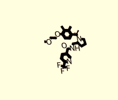 COCCOc1ccc([C@@H](C)N2CCCC2CNC(=O)c2ccc(C(F)(F)F)nc2)c(C)c1C